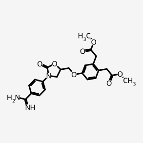 COC(=O)Cc1ccc(OCC2CN(c3ccc(C(=N)N)cc3)C(=O)O2)cc1CC(=O)OC